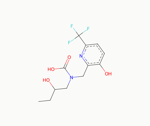 CCC(O)CN(Cc1nc(C(F)(F)F)ccc1O)C(=O)O